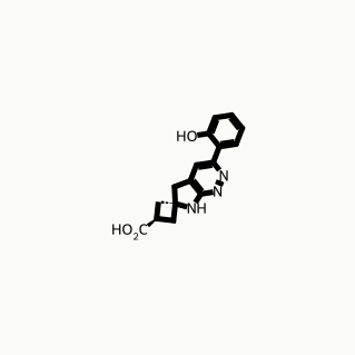 O=C(O)[C@H]1C[C@@]2(Cc3cc(-c4ccccc4O)nnc3N2)C1